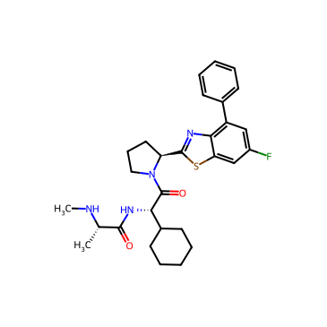 CN[C@@H](C)C(=O)N[C@H](C(=O)N1CCC[C@H]1c1nc2c(-c3ccccc3)cc(F)cc2s1)C1CCCCC1